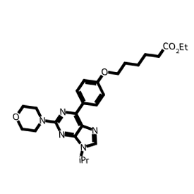 CCOC(=O)CCCCCOc1ccc(-c2nc(N3CCOCC3)nc3c2ncn3C(C)C)cc1